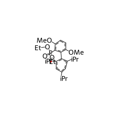 CCOP(=O)(OCC)c1c(OC)ccc(OC)c1-c1c(C(C)C)cc(C(C)C)cc1C(C)C